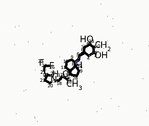 C=C1[C@H](O)CC(=C/C=C2\CCC[C@]3(C)[C@@H](C(C)CCN4CC[C@H](CC(F)F)C4)CC[C@@H]23)C[C@H]1O